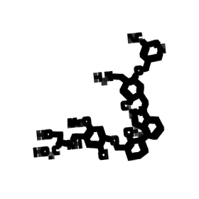 COc1cc(OCc2cccc(-c3cccc4c3cnn4Cc3cc(OCc4cncc(C#N)c4)c(CN)cc3Cl)c2C)c(Cl)cc1CNC(CO)C(=O)O